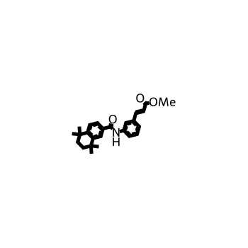 COC(=O)/C=C/c1cccc(NC(=O)c2ccc3c(c2)C(C)(C)CCC3(C)C)c1